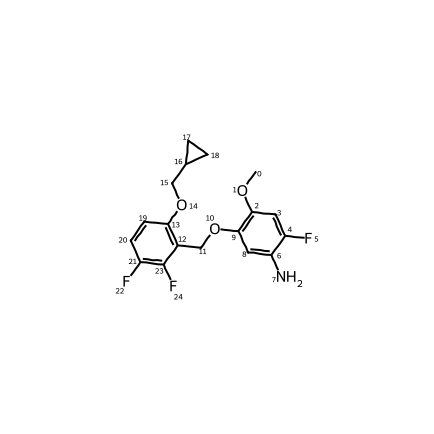 COc1cc(F)c(N)cc1OCc1c(OCC2CC2)ccc(F)c1F